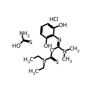 CCN(CC)C(=S)OC(=Nc1c(O)cccc1O)N(C)C.Cl.NC(O)=S